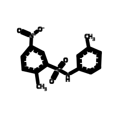 Cc1cccc(NS(=O)(=O)c2cc([N+](=O)[O-])ccc2C)c1